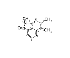 Cc1cc2c3c(cccc3c1C)C(=O)N2C